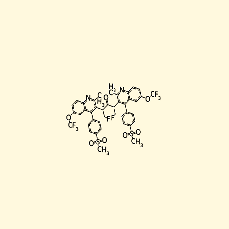 Cc1nc2ccc(OC(F)(F)F)cc2c(-c2ccc(S(C)(=O)=O)cc2)c1C(CF)C(=O)C(CF)c1c(C)nc2ccc(OC(F)(F)F)cc2c1-c1ccc(S(C)(=O)=O)cc1